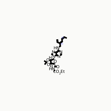 C=C/C(=C\C=C/C)CNc1ncnc2c1ncn2[C@@H]1O[C@H](C(=O)NC(=O)OCC)[C@H]2OC(C)(C)O[C@H]21